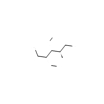 N[C@@H](C=O)[C@@H](OS(=O)(=O)O)[C@H](OS(=O)(=O)O)[C@H](O)CO